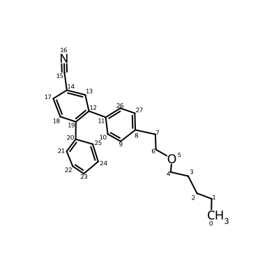 CCCCCOCCc1ccc(-c2cc(C#N)ccc2-c2ccccc2)cc1